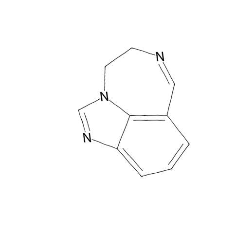 C1=NCCn2cnc3cccc1c32